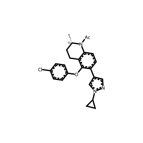 CC(=O)N1c2ccc(-c3cnn(C4CC4)c3)c(Oc3ccc(Cl)cc3)c2CC[C@@H]1C